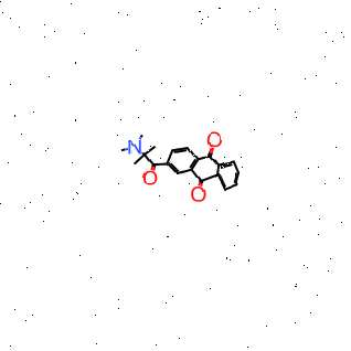 CN(C)C(C)(C)C(=O)c1ccc2c(c1)C(=O)c1ccccc1C2=O